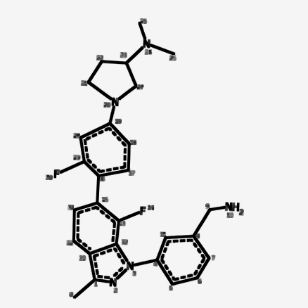 Cc1nn(-c2cccc(CN)c2)c2c(F)c(-c3ccc(N4CCC(N(C)C)C4)cc3F)ccc12